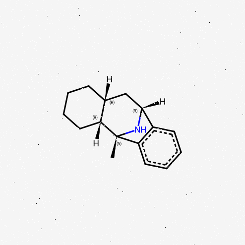 C[C@]12N[C@H](C[C@H]3CCCC[C@H]31)c1ccccc12